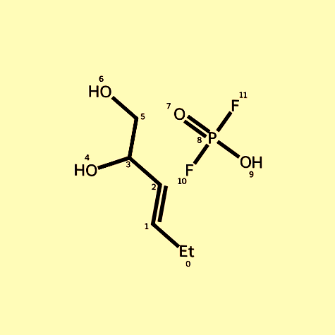 CCC=CC(O)CO.O=P(O)(F)F